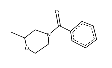 CC1CN(C(=O)c2ccccc2)CCO1